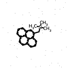 C[Si](C)(C)Cc1cc2cccc3ccc4cccc1c4c32